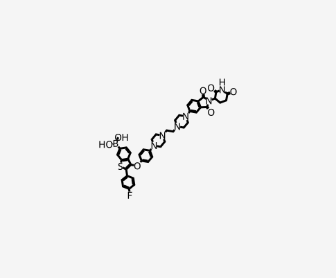 O=C1CCC(N2C(=O)c3ccc(N4CCN(CCN5CCN(c6ccc(Oc7c(-c8ccc(F)cc8)sc8cc(B(O)O)ccc78)cc6)CC5)CC4)cc3C2=O)C(=O)N1